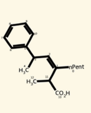 CCCCCC(=CC(C)c1ccccc1)C(C)C(=O)O